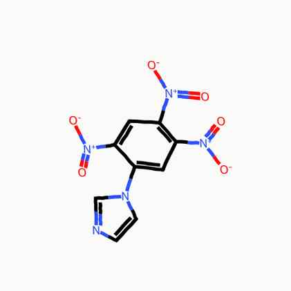 O=[N+]([O-])c1cc([N+](=O)[O-])c([N+](=O)[O-])cc1-n1ccnc1